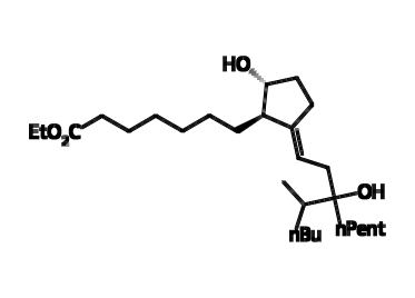 CCCCCC(O)(CC=C1CC[C@@H](O)[C@@H]1CCCCCCC(=O)OCC)C(C)CCCC